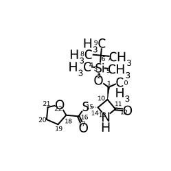 CC(O[Si](C)(C)C(C)(C)C)[C@H]1C(=O)N[C@@H]1SC(=O)C1CCCO1